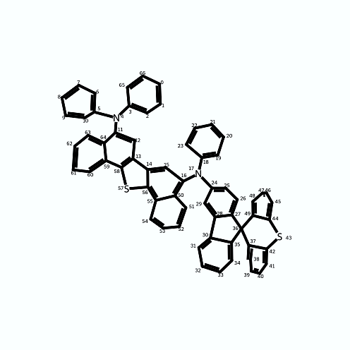 c1ccc(N(c2ccccc2)c2cc3c4cc(N(c5ccccc5)c5ccc6c(c5)-c5ccccc5C65c6ccccc6Sc6ccccc65)c5ccccc5c4sc3c3ccccc23)cc1